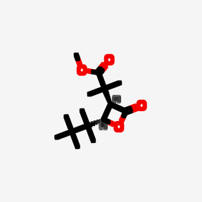 COC(=O)C(C)(C)[C@H]1C(=O)O[C@@H]1C(C)(C)C(C)(C)C